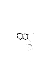 COc1cc2ccccc2cc1CC1=NOS(=O)N1